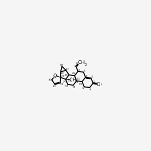 C=CC1CC2=CC(=O)CCC2C2CC[C@@]3(C)C(C4CC4[C@@]34C=CCO4)C12